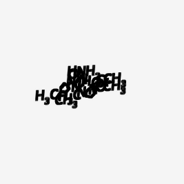 CC(C)c1ccc(Nc2nc(N(C)C3CCCN(C(=O)OC(C)(C)C)C3)cnc2C(N)=O)cc1